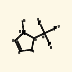 CN1C=C[C]C1C(F)(F)F